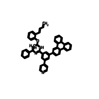 C=C/C=C/c1ccccc1OC(C)N/C(=N\C(=N)c1ccccc1)c1cc(-c2ccncc2)cc(-c2ccc3c4ccccc4c4ccccc4c3c2)c1